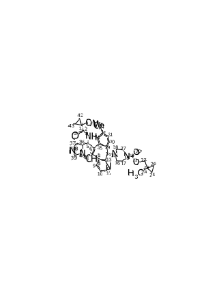 COC1(C(=O)N[C@H](C2=Cc3cccnc3[C@@H](N3CCN(C(=O)OCC4(C)CC4)CC3)c3ccc(Cl)cc32)C2CN=CN2C)CC1